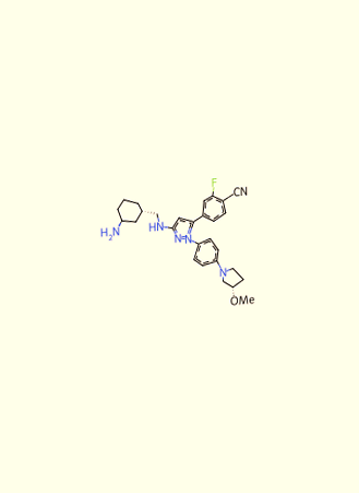 CO[C@H]1CCN(c2ccc(-n3nc(NC[C@H]4CCC[C@H](N)C4)cc3-c3ccc(C#N)c(F)c3)cc2)C1